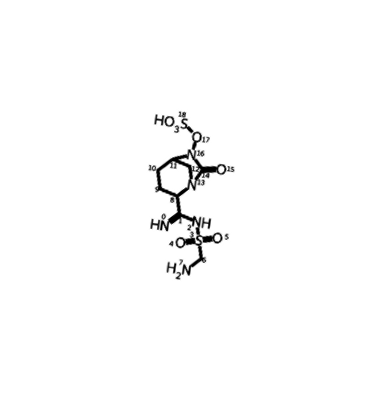 N=C(NS(=O)(=O)CN)C1CCC2CN1C(=O)N2OS(=O)(=O)O